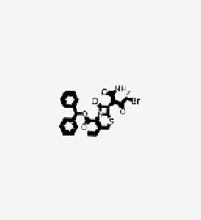 C=CC1=C(C(=O)OC(c2ccccc2)c2ccccc2)N2C(=O)C(C(C(N)=O)C(=O)CBr)C2SC1